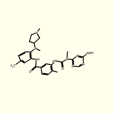 CNc1ncnc(N(C)C(=O)Nc2cc(C(=O)Nc3cc(C(F)(F)F)ccc3N(C)C3CCN(C)C3)ccc2C)n1